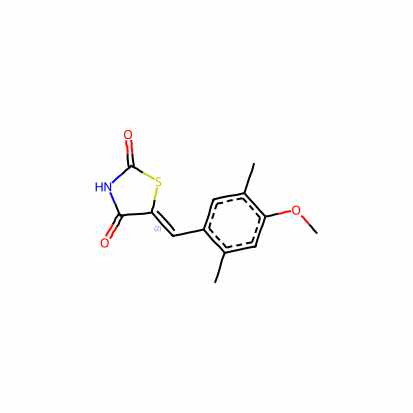 COc1cc(C)c(/C=C2\SC(=O)NC2=O)cc1C